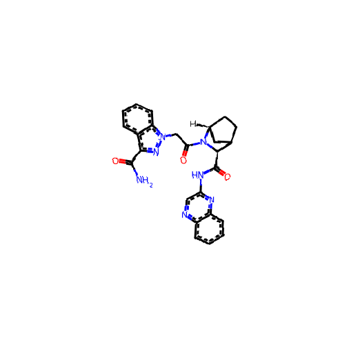 NC(=O)c1nn(CC(=O)N2[C@@H]3CCC(C3)[C@H]2C(=O)Nc2cnc3ccccc3n2)c2ccccc12